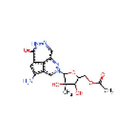 CC(=O)OCC1OC(n2cc3c(N)cc4c(=O)[nH]ncc(n2)c34)C(C)(O)C1O